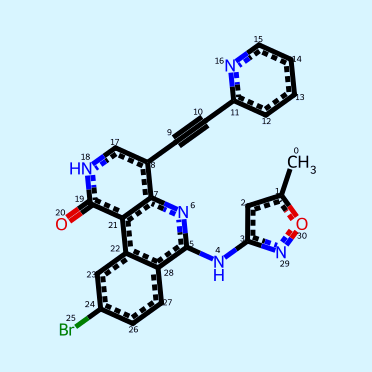 Cc1cc(Nc2nc3c(C#Cc4ccccn4)c[nH]c(=O)c3c3cc(Br)ccc23)no1